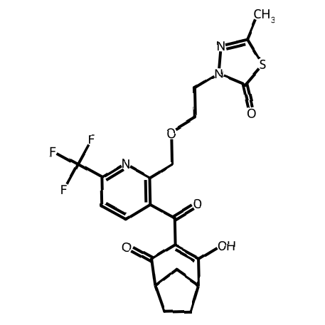 Cc1nn(CCOCc2nc(C(F)(F)F)ccc2C(=O)C2=C(O)C3CCC(C3)C2=O)c(=O)s1